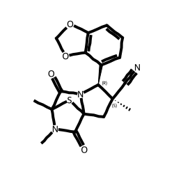 CN1C(=O)C23C[C@](C)(C#N)[C@H](c4cccc5c4OCO5)N2C(=O)C1(C)S3